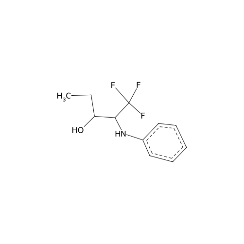 CCC(O)C(Nc1ccccc1)C(F)(F)F